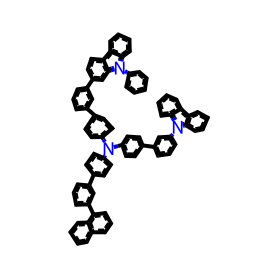 c1ccc(-n2c3ccccc3c3ccc(-c4cccc(-c5ccc(N(c6ccc(-c7cccc(-c8cccc9ccccc89)c7)cc6)c6ccc(-c7cccc(-n8c9ccccc9c9ccccc98)c7)cc6)cc5)c4)cc32)cc1